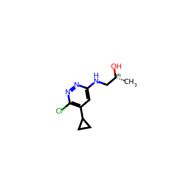 C[C@@H](O)CNc1cc(C2CC2)c(Cl)nn1